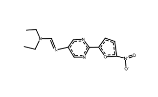 CCN(C=Nc1cnc(-c2ccc([N+](=O)[O-])o2)nc1)CC